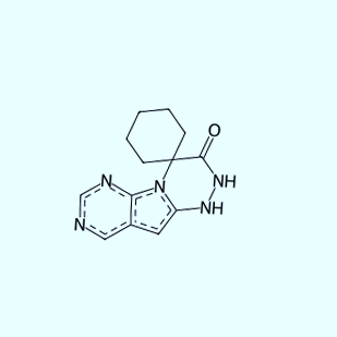 O=C1NNc2cc3cncnc3n2C12CCCCC2